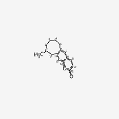 CC1CCCCc2cc3ccc(=O)oc3cc2C1